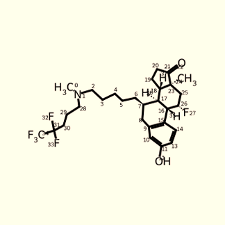 CN(CCCCC[C@@H]1Cc2cc(O)ccc2[C@@H]2[C@@H]1[C@@H]1CCC(=O)[C@@]1(C)C[C@@H]2F)CCCC(F)(F)C(F)(F)F